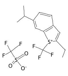 CCc1cc2ccc(C(C)C)cc2[s+]1C(F)(F)F.O=S(=O)([O-])C(F)(F)F